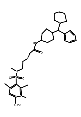 COc1cc(C)c(S(=O)(=O)N(C)CCOCC(=O)NC2CCC(C(c3ccccc3)N3CCOCC3)CC2)c(C)c1C